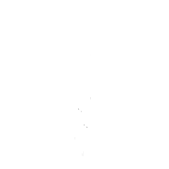 CCCC(=O)NNC(=O)OCC1c2ccccc2-c2ccccc21